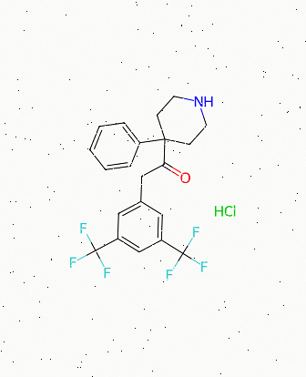 Cl.O=C(Cc1cc(C(F)(F)F)cc(C(F)(F)F)c1)C1(c2ccccc2)CCNCC1